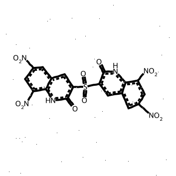 O=c1[nH]c2c([N+](=O)[O-])cc([N+](=O)[O-])cc2cc1S(=O)(=O)c1cc2cc([N+](=O)[O-])cc([N+](=O)[O-])c2[nH]c1=O